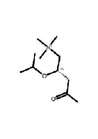 CC(=O)C[C@@H](C[N+](C)(C)C)OC(C)C